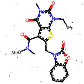 CON(C)C(=O)c1c(Cn2c(=O)oc3ccccc32)sc2c1c(=O)n(C)c(=O)n2CC(C)C